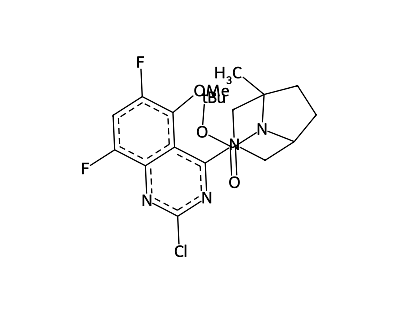 COc1c(F)cc(F)c2nc(Cl)nc(N3CC4CCC(C)(C3)N4C(=O)OC(C)(C)C)c12